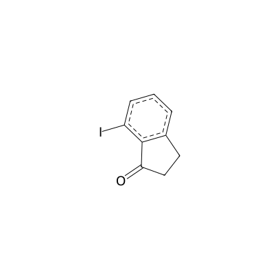 O=C1CCc2cccc(I)c21